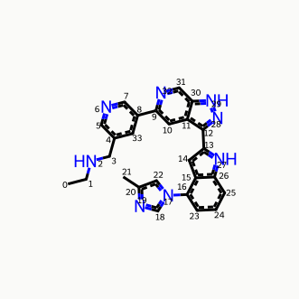 CCNCc1cncc(-c2cc3c(-c4cc5c(-n6cnc(C)c6)cccc5[nH]4)n[nH]c3cn2)c1